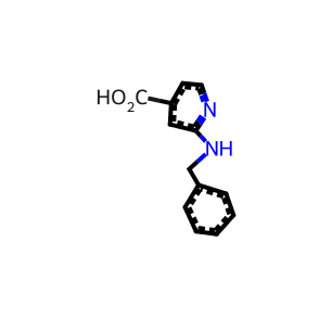 O=C(O)c1ccnc(NCc2ccccc2)c1